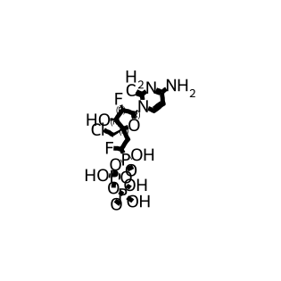 C=C1N=C(N)C=CN1[C@@H]1O[C@](CCl)(CC(F)P(=O)(O)OP(=O)(O)OP(=O)(O)O)[C@@H](O)[C@H]1F